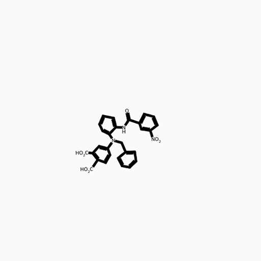 O=C(Nc1ccccc1N(Cc1ccccc1)c1ccc(C(=O)O)c(C(=O)O)c1)c1cccc([N+](=O)[O-])c1